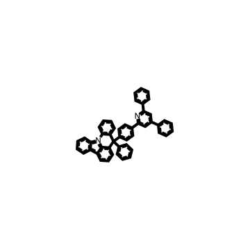 c1ccc(-c2cc(-c3ccccc3)nc(-c3ccc(C4(c5ccccc5)c5ccccc5-n5c6ccccc6c6cccc4c65)cc3)c2)cc1